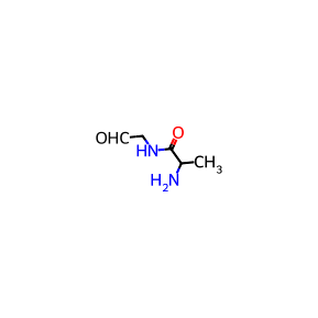 CC(N)C(=O)NCC=O